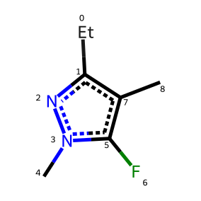 CCc1nn(C)c(F)c1C